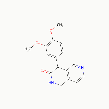 COc1ccc(C2C(=O)NCc3ccncc32)cc1OC